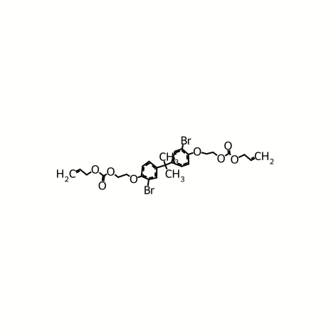 C=CCOC(=O)OCCOc1ccc(C(C)(C)c2ccc(OCCOC(=O)OCC=C)c(Br)c2)cc1Br